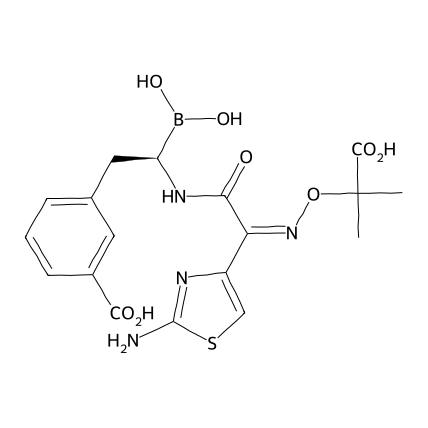 CC(C)(O/N=C(\C(=O)N[C@@H](Cc1cccc(C(=O)O)c1)B(O)O)c1csc(N)n1)C(=O)O